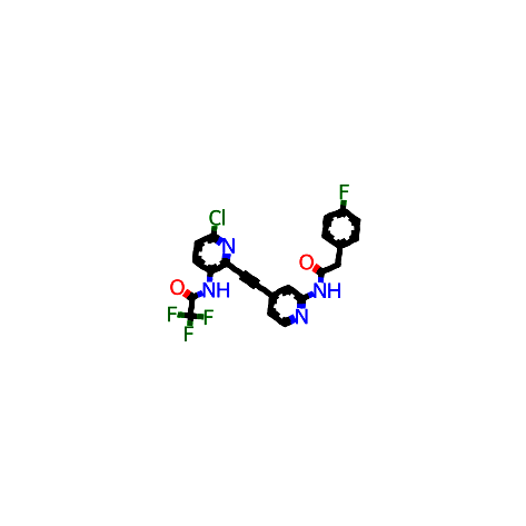 O=C(Cc1ccc(F)cc1)Nc1cc(C#Cc2nc(Cl)ccc2NC(=O)C(F)(F)F)ccn1